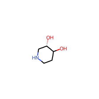 OC1CCNC[C@@H]1O